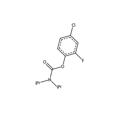 CC(C)N(C(=O)Oc1ccc(Cl)cc1F)C(C)C